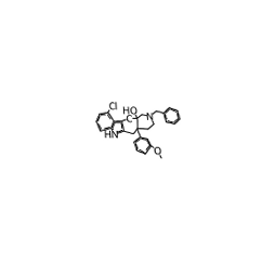 COc1cccc(C23CCN(Cc4ccccc4)CC2(O)Cc2c([nH]c4cccc(Cl)c24)C3)c1